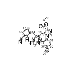 CCOC(=O)c1ncn2c1C/C(=C(/N)Cc1cccc(C#N)c1)N(N)c1cc(OC)ccc1-2